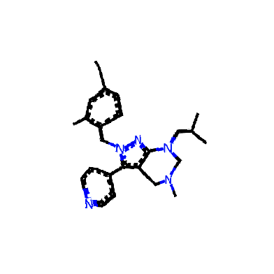 Cc1ccc(Cn2nc3c(c2-c2ccncc2)CN(C)CN3CC(C)C)c(C)c1